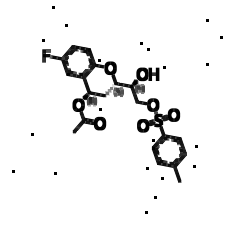 CC(=O)O[C@@H]1C[C@@H]([C@@H](O)COS(=O)(=O)c2ccc(C)cc2)Oc2ccc(F)cc21